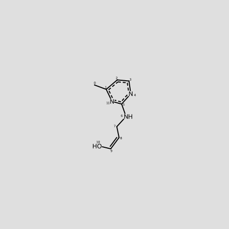 Cc1ccnc(NC/C=C\O)n1